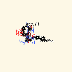 CCCCc1ccc(-c2ccc(C(=O)NCC(C)C(=O)N[C@@H](CCN)C(=O)N(C)[C@@H]3C(=O)N[C@@H](C)C(=O)N[C@H](C(=O)O)Cc4ccc(O)c(c4)-c4cc3ccc4O)cc2)cc1